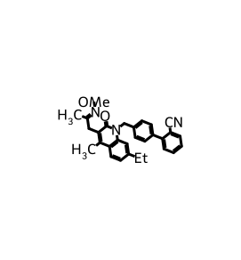 CCc1ccc2c(C)c(CC(C)=NOC)c(=O)n(Cc3ccc(-c4ccccc4C#N)cc3)c2c1